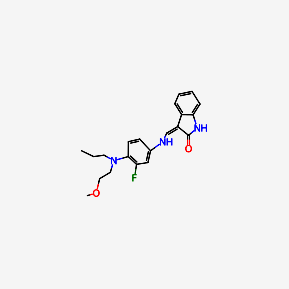 CCCN(CCOC)c1ccc(NC=C2C(=O)Nc3ccccc32)cc1F